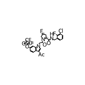 CC(=O)c1cn(CC(=O)N2C[C@H](F)C[C@H]2C(=O)NCc2cccc(Cl)c2F)c2cc(OS(=O)(=O)C(F)(F)F)ccc12